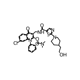 CN(C)C(=O)Oc1c(CNC(=O)c2cnc(N3CCC(CCO)CC3)s2)c(=O)c2ccc(Cl)cc2n1-c1ccccc1